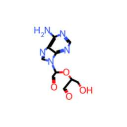 Nc1ncnc2c1ncn2C(C=O)OC(C=O)CO